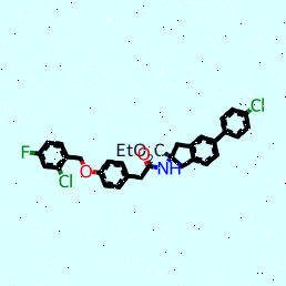 CCOC(=O)C1(NC(=O)Cc2ccc(OCc3ccc(F)cc3Cl)cc2)Cc2ccc(-c3ccc(Cl)cc3)cc2C1